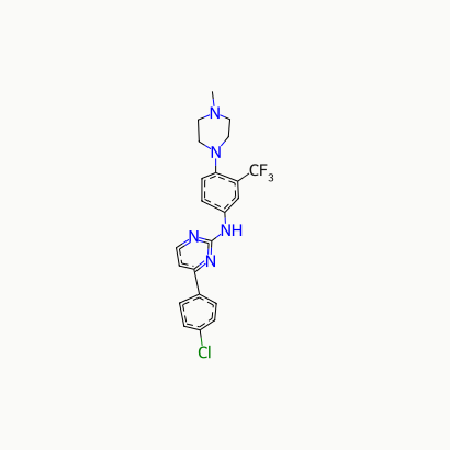 CN1CCN(c2ccc(Nc3nccc(-c4ccc(Cl)cc4)n3)cc2C(F)(F)F)CC1